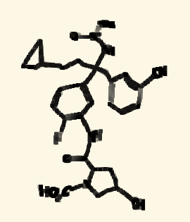 CC(C)(C)[S@@+]([O-])NC(CCC1CC1)(c1cccc(C#N)c1)c1ccc(F)c(NC(=O)C2CC(O)CN2C(=O)O)c1